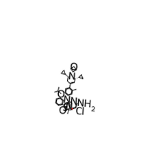 Cc1cc(N(c2ncc(Cl)c(N)n2)c2ccccc2S(=O)(=O)C(C)C)c(OC(C)C)cc1C1=C[C@@H](C2CC2)N(C2COC2)[C@H](C2CC2)C1